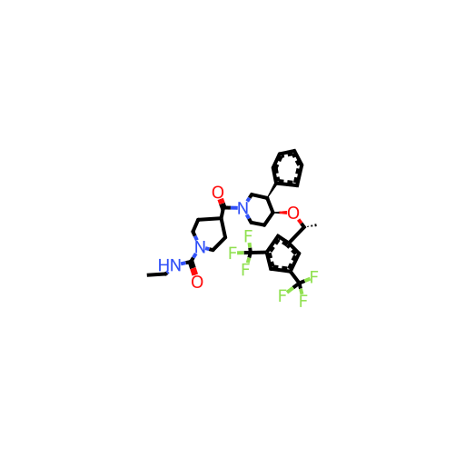 CCNC(=O)N1CCC(C(=O)N2CC[C@H](O[C@H](C)c3cc(C(F)(F)F)cc(C(F)(F)F)c3)[C@H](c3ccccc3)C2)CC1